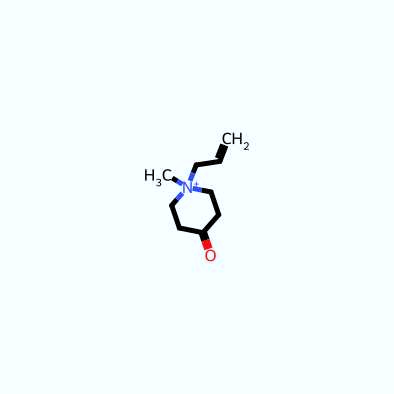 C=CC[N+]1(C)CCC(=O)CC1